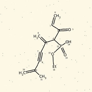 C=CC(=O)C(C(=C)C#CC(=C)C)P(=O)(O)OCC